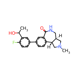 CC(O)c1cc(-c2ccc3c(c2)C(=O)NC[C@H]2CN(C)C[C@H]32)ccc1F